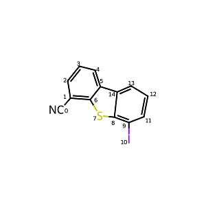 N#Cc1cccc2c1sc1c(I)cccc12